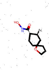 CC(=O)[C@H]1CC2(CCCO2)CC[C@@H]1C(=O)NO